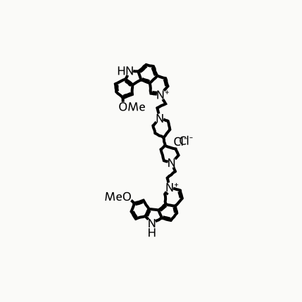 COc1ccc2[nH]c3ccc4cc[n+](CCN5CCC(C6CCN(CC[n+]7ccc8ccc9[nH]c%10ccc(OC)cc%10c9c8c7)CC6)CC5)cc4c3c2c1.[Cl-].[Cl-]